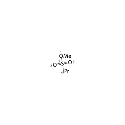 COS(=O)(=O)C(C)C